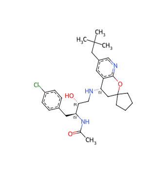 CC(=O)N[C@@H](Cc1ccc(Cl)cc1)[C@H](O)CN[C@H]1CC2(CCCC2)Oc2ncc(CC(C)(C)C)cc21